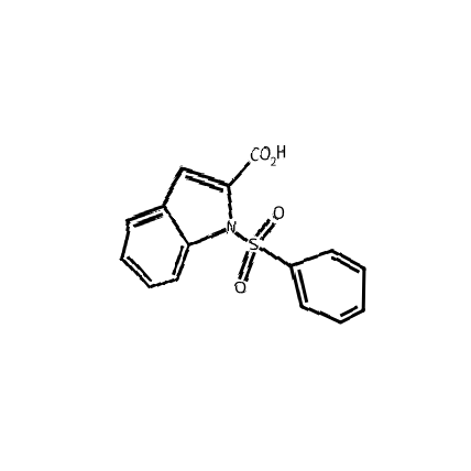 O=C(O)c1cc2ccccc2n1S(=O)(=O)c1ccccc1